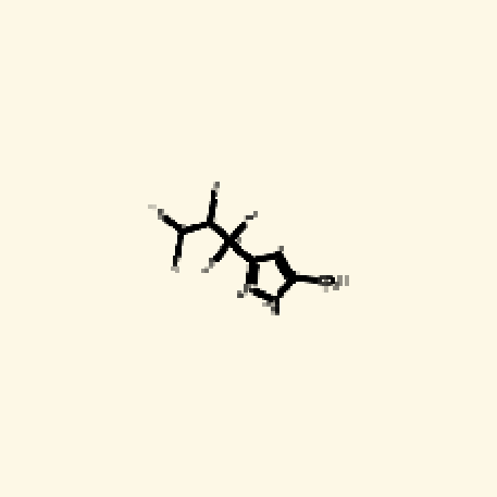 O=C(O)c1cc(C(F)(F)C(F)C(F)F)n[nH]1